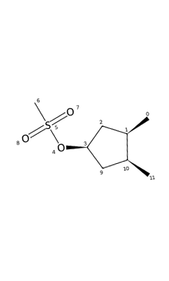 C[C@@H]1C[C@H](OS(C)(=O)=O)C[C@@H]1C